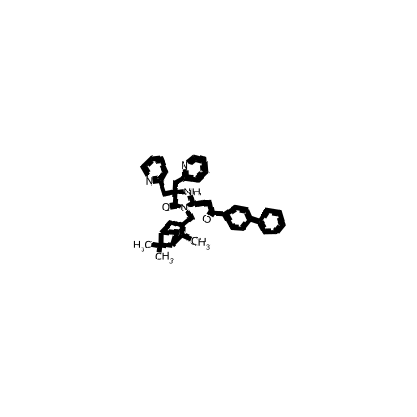 CC1C(CN2C(=O)C(Cc3ccccn3)(Cc3ccccn3)N/C2=C/C(=O)c2ccc(-c3ccccc3)cc2)CC2CC1C2(C)C